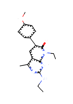 CCNc1nc(C)c2cc(-c3ccc(OC)cc3)c(=O)n(CC)c2n1